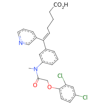 CN(C(=O)COc1ccc(Cl)cc1Cl)c1cccc(/C(=C/CCCC(=O)O)c2cccnc2)c1